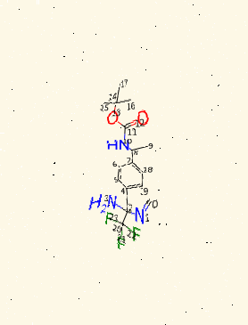 C=NC(N)(c1ccc(C(C)NC(=O)OC(C)(C)C)cc1)C(F)(F)F